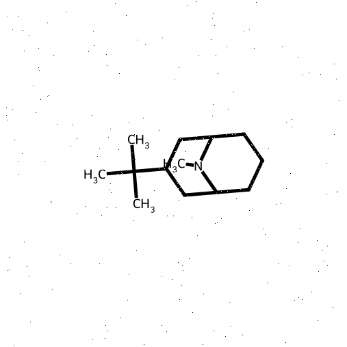 CN1C2CCCC1CC(C(C)(C)C)C2